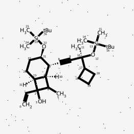 C=CC1(O)C(C)[C@@H]2[C@@H](C#C[C@@](C)(O[Si](C)(C)C(C)(C)C)C3CCC3)[C@H](O[Si](C)(C)C(C)(C)C)CC[C@@H]21